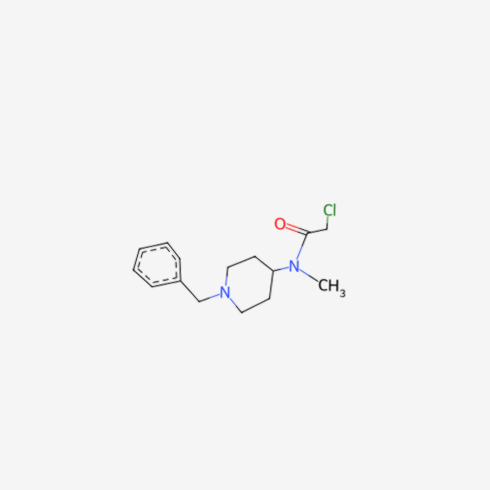 CN(C(=O)CCl)C1CCN(Cc2ccccc2)CC1